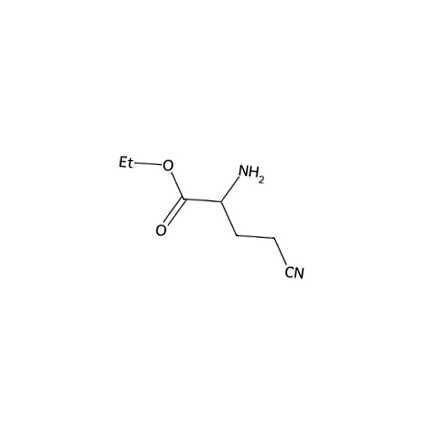 CCOC(=O)C(N)CCC#N